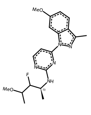 COc1ccc2c(C)nn(-c3ccnc(N[C@@H](C)C(F)C(C)OC)n3)c2c1